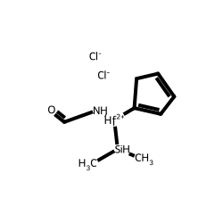 C[SiH](C)[Hf+2]([NH]C=O)[C]1=CC=CC1.[Cl-].[Cl-]